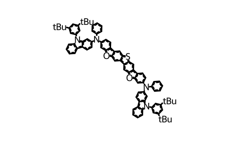 CC(C)(C)c1cc(-n2c3ccccc3c3ccc(N(c4ccccc4)c4ccc5c(c4)oc4cc6c(cc45)sc4cc5c(cc46)oc4cc(N(c6ccccc6)c6ccc7c8ccccc8n(-c8cc(C(C)(C)C)cc(C(C)(C)C)c8)c7c6)ccc45)cc32)cc(C(C)(C)C)c1